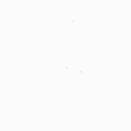 COc1ccc2c(c1)ncn2Cc1ccc(B(O)O)cc1